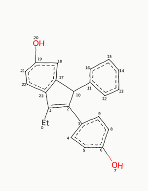 CCC1=C(c2ccc(O)cc2)C(c2ccccc2)c2cc(O)ccc21